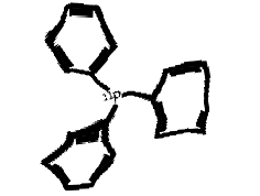 c1ccc([11P](c2ccccc2)c2ccccc2)cc1